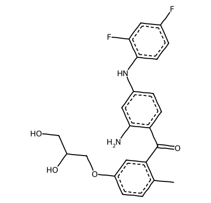 Cc1ccc(OCC(O)CO)cc1C(=O)c1ccc(Nc2ccc(F)cc2F)cc1N